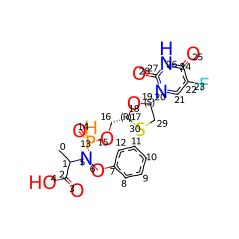 CC(C(=O)O)N(Oc1ccccc1)[PH](=O)OC[C@@H]1O[C@H](n2cc(F)c(=O)[nH]c2=O)CS1